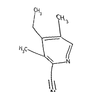 CCc1c(C)cnc(C#N)c1C